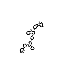 c1ccc(-c2cc(-c3ccc(-c4ccc(-c5ccc6oc7ccccc7c6c5)c5oc6ccccc6c45)cc3)nc(-c3cccc(-c4cccnc4)c3)n2)cc1